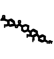 CCCc1ccc(-c2ccc(C3CCC(C(=O)Oc4ccc(C5CO5)c(F)c4)CC3)c(F)c2F)cc1